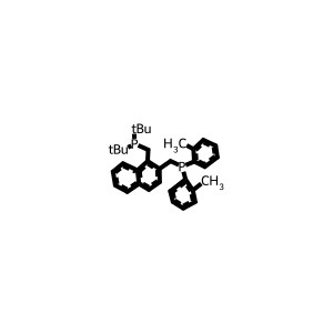 Cc1ccccc1P(Cc1ccc2ccccc2c1CP(C(C)(C)C)C(C)(C)C)c1ccccc1C